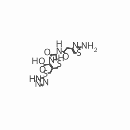 Nc1nc(CC(=O)NC2C(=O)N3C(C(=O)O)=C(CSc4ncn[nH]4)CS[C@@H]23)cs1